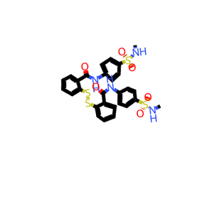 CNS(=O)(=O)c1ccc(NC(=O)c2ccccc2SSc2ccccc2C(=O)Nc2ccc(S(=O)(=O)NC)cc2)cc1